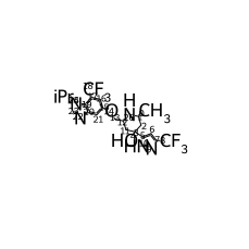 CC1CC(O)(c2cc(C(F)(F)F)n[nH]2)CC(COc2cc(C(F)(F)F)c3c(c2)ncn3C(C)C)N1